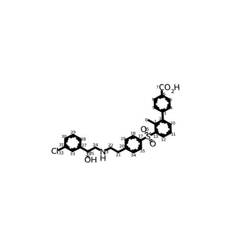 Cc1c(-c2ccc(C(=O)O)cc2)cccc1S(=O)(=O)c1ccc(CCNC[C@H](O)c2cccc(Cl)c2)cc1